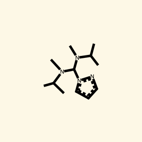 CC(C)N(C)C(N(C)C(C)C)n1cccn1